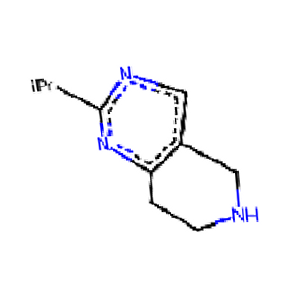 CC(C)c1ncc2c(n1)CCNC2